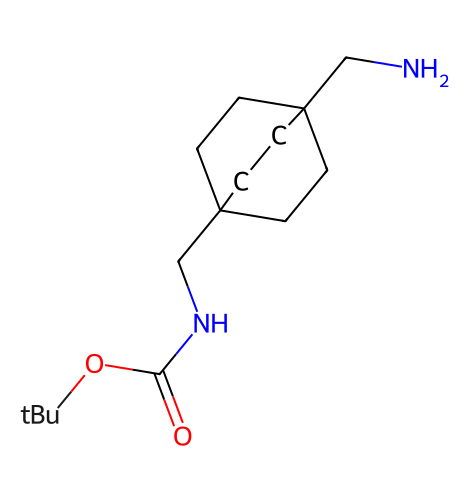 CC(C)(C)OC(=O)NCC12CCC(CN)(CC1)CC2